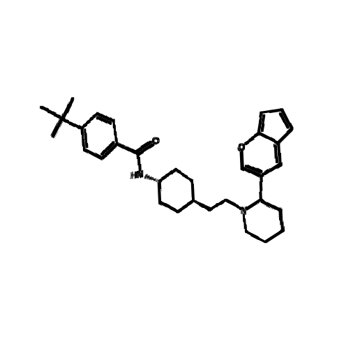 CC(C)(C)c1ccc(C(=O)N[C@H]2CC[C@H](CCN3CCCCC3c3coc4cccc-4c3)CC2)cc1